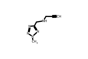 C#CCNCc1nnn(C)n1